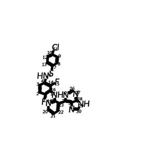 Fc1ccc(NSc2ccc(Cl)cc2)c(F)c1Nc1ncccc1-c1ncnc2[nH]cnc12